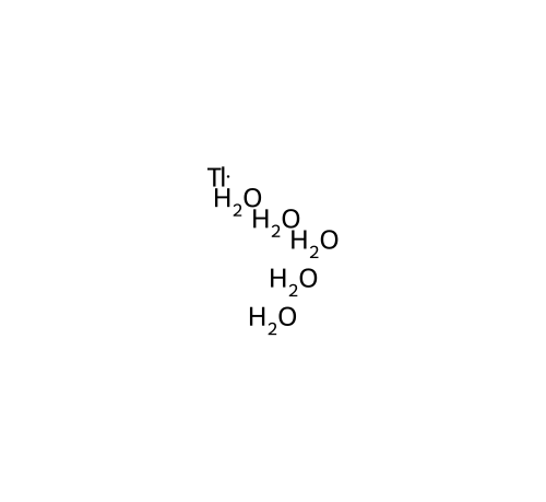 O.O.O.O.O.[Tl]